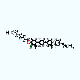 C/C=C/C1CC=C(c2ccc(-c3ccc(-c4ccc(OCCCCCCCC)c(F)c4F)cc3)cc2F)CC1